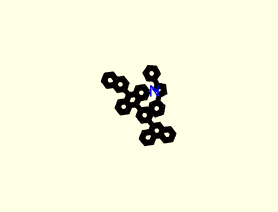 c1ccc(-c2ccc(-c3ccccc3)n2-c2ccc3c(-c4ccc5ccccc5c4)c4ccccc4c(-c4ccc(-c5cc6ccccc6c6ccccc56)cc4)c3c2)cc1